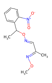 CON=C(C)C=NOC(C)c1ccccc1[N+](=O)[O-]